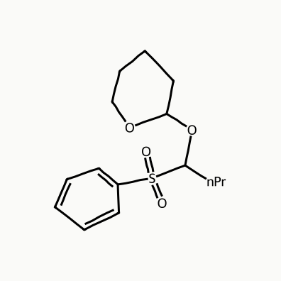 CCCC(OC1CCCCO1)S(=O)(=O)c1ccccc1